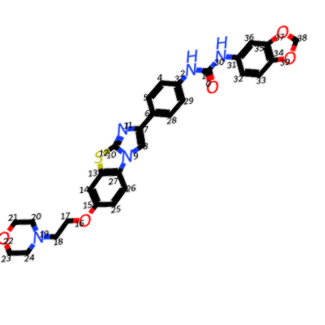 O=C(Nc1ccc(-c2cn3c(n2)sc2cc(OCCN4CCOCC4)ccc23)cc1)Nc1ccc2c(c1)OCO2